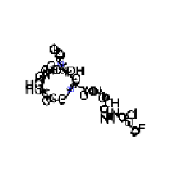 CO[C@@H]1CCCCC/C(C)=C/[C@@H](CCCC(=O)N2CCN(Cc3ccc(-c4ccc5ncnc(Nc6ccc(OCc7cccc(F)c7)c(Cl)c6)c5c4)o3)CC2)C(=O)C[C@H](O)[C@@H](C)[C@@H](/C(C)=C/[C@@H]2CCC[C@H](OC)C2)OC(=O)[C@@H]2CCCCN2C(=O)C(=O)C(O)(O)[C@H](C)C1